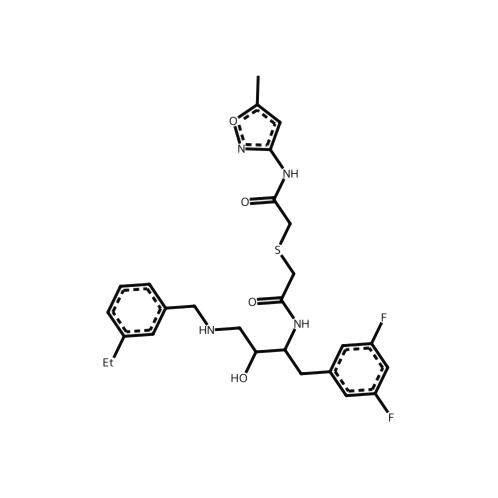 CCc1cccc(CNCC(O)C(Cc2cc(F)cc(F)c2)NC(=O)CSCC(=O)Nc2cc(C)on2)c1